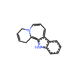 C1=CN2CC=CCC2=c2[nH]c3ccccc3c2=C1